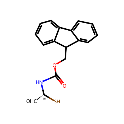 O=C[C@@H](S)NC(=O)OCC1c2ccccc2-c2ccccc21